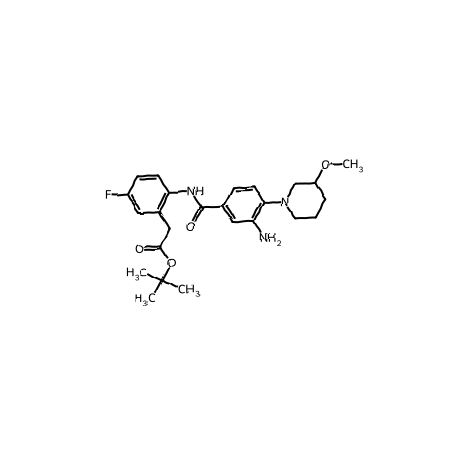 COC1CCCN(c2ccc(C(=O)Nc3ccc(F)cc3CC(=O)OC(C)(C)C)cc2N)C1